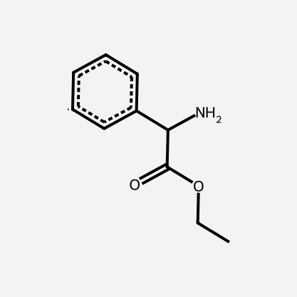 CCOC(=O)C(N)c1c[c]ccc1